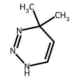 CC1(C)C=CNN=N1